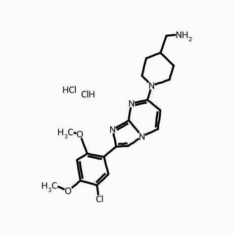 COc1cc(OC)c(-c2cn3ccc(N4CCC(CN)CC4)nc3n2)cc1Cl.Cl.Cl